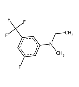 CCN(C)c1cc(F)cc(C(F)(F)F)c1